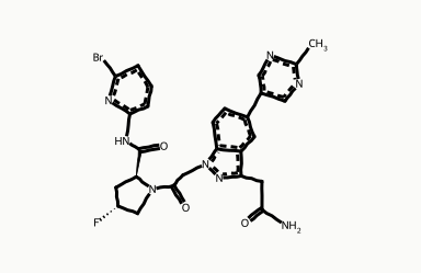 Cc1ncc(-c2ccc3c(c2)c(CC(N)=O)nn3CC(=O)N2C[C@H](F)C[C@H]2C(=O)Nc2cccc(Br)n2)cn1